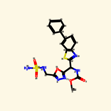 CC(C)(C)OC(=O)NC(c1nnc(CNS(N)(=O)=O)o1)c1nc2ccc(-c3ccccc3)cc2s1